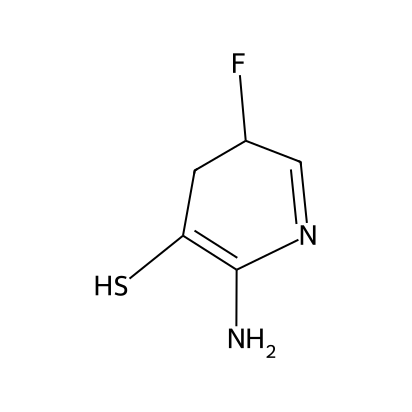 NC1=C(S)CC(F)C=N1